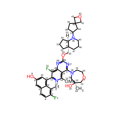 CCc1c(F)ccc2cc(O)cc(-c3nc(OC)c4c(N5CCOC[C@@](C)(O)C5)nc(OC[C@]56CCC[C@H]5N(C5CCC7(COC7)C5)CCC6)nc4c3F)c12